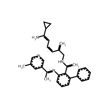 C=C(/C=C\C=C(/N)C1CC1)CNC(=C)c1c(/N=C(\C)c2cncc(C)c2)cccc1-c1ccccc1